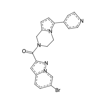 O=C(c1cc2ccc(Br)cn2n1)N1CCn2c(ccc2-c2ccncc2)C1